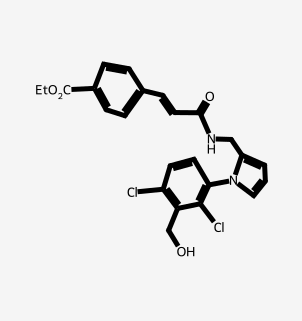 CCOC(=O)c1ccc(C=CC(=O)NCc2cccn2-c2ccc(Cl)c(CO)c2Cl)cc1